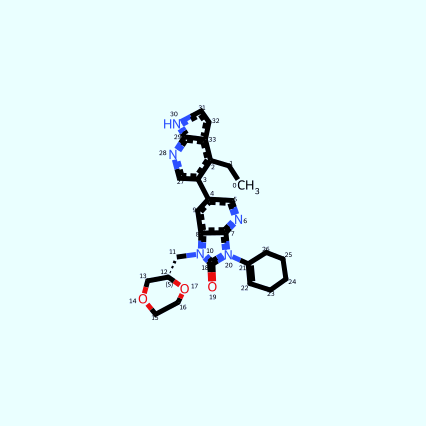 CCc1c(-c2cnc3c(c2)n(C[C@H]2COCCO2)c(=O)n3C2=CCCCC2)cnc2[nH]ccc12